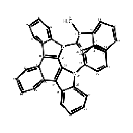 Cn1c(-n2c3ccccc3c3c4ccccc4c4c5ccccc5n(-c5ccccc5)c4c32)nc2ccccc21